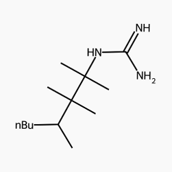 CCCCC(C)C(C)(C)C(C)(C)NC(=N)N